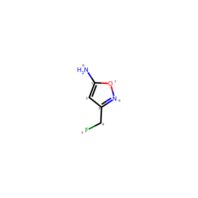 Nc1cc(CF)no1